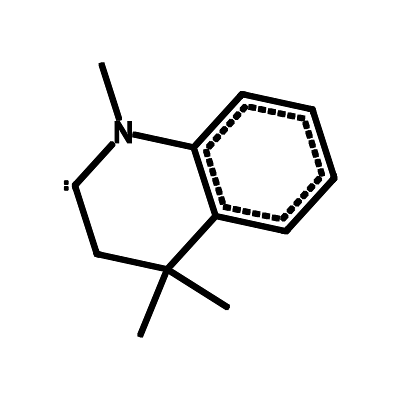 CN1[C]CC(C)(C)c2ccccc21